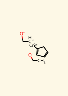 CC[O-].CC[O-].[Cr+2][C]1=CC=CC1